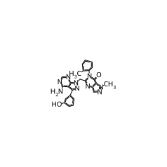 Cc1ccccc1-n1c(Cn2nc(-c3cccc(O)c3)c3c(N)ncnc32)nc2cnn(C)c2c1=O